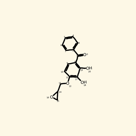 O=C(c1ccccc1)c1ccc(OCC2CO2)c(O)c1O